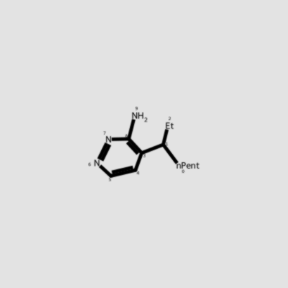 CCCCCC(CC)c1ccnnc1N